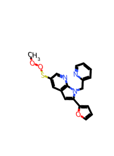 COOSc1cnc2c(c1)cc(-c1ccco1)n2Cc1ccccn1